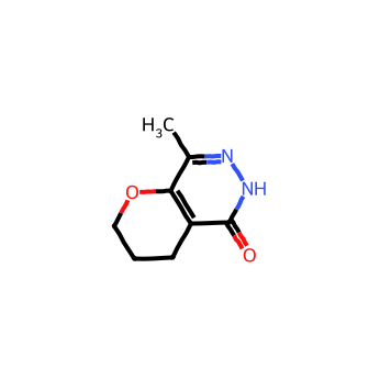 Cc1n[nH]c(=O)c2c1OCCC2